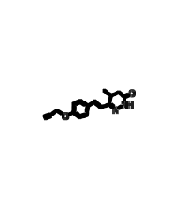 C#CCOc1ccc(C=CC2=NNC(=O)CC2C)cc1